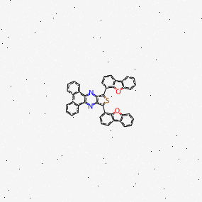 c1ccc2c(c1)oc1c(-c3sc(-c4cccc5c4oc4ccccc45)c4nc5c6ccccc6c6ccccc6c5nc34)cccc12